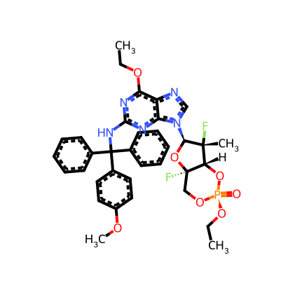 CCOc1nc(NC(c2ccccc2)(c2ccccc2)c2ccc(OC)cc2)nc2c1ncn2[C@@H]1O[C@]2(F)CO[P@](=O)(OCC)O[C@H]2[C@@]1(C)F